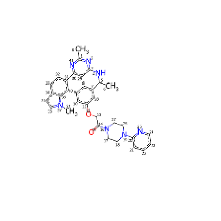 Cc1nc(NC(C)c2cccc(OCC(=O)N3CCN(c4ccccn4)CC3)c2)cc(-c2ccc3ccn(C)c3c2)n1